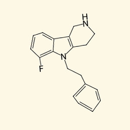 Fc1cccc2c3c(n(CCc4ccccc4)c12)CCNC3